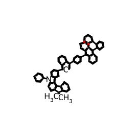 CC1(C)c2ccccc2-c2c1ccc1c2c2cc(-c3ccc(-c4ccc(-c5c6ccccc6c(-c6ccccc6-c6ccccc6)c6ccccc56)cc4)c4ccccc34)ccc2n1-c1ccccc1